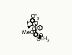 COc1ccc(S(C)(=O)=O)cc1C(=O)N1CCCC[C@@H]1C(=O)NC(c1ccc(C(F)(F)F)cc1F)C1CC1